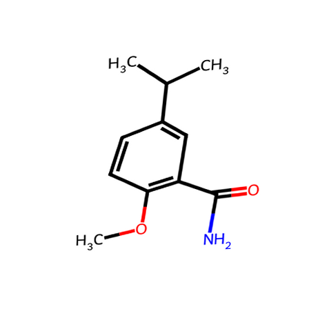 COc1ccc(C(C)C)cc1C(N)=O